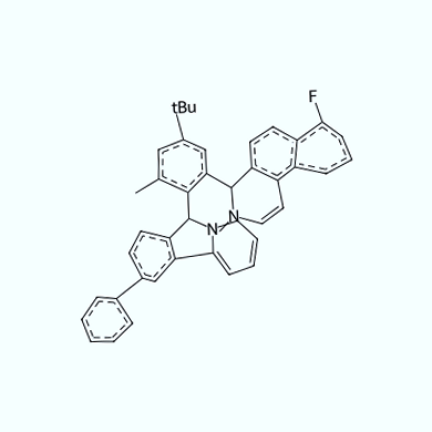 Cc1cc(C(C)(C)C)cc(C2c3ccc4c(F)cccc4c3C=CN2C)c1C1c2ccc(-c3ccccc3)cc2C2=CC=CCN21